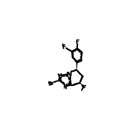 Fc1ccc([C@@H]2C[C@H](F)c3nc(Br)nn32)cc1F